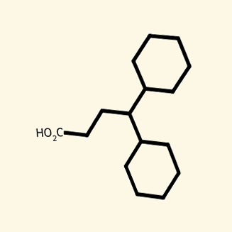 O=C(O)CCC(C1CCCCC1)C1CCCCC1